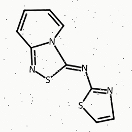 c1ccn2/c(=N/c3nccs3)snc2c1